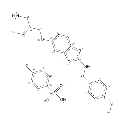 COc1ccc(CNc2nc3ccc(OCC(=CF)CN)cc3o2)cc1.Cc1ccc(S(=O)(=O)O)cc1